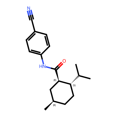 CC(C)[C@@H]1CC[C@@H](C)C[C@H]1C(=O)Nc1ccc(C#N)cc1